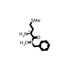 CSCC[C@H](N)C(=O)N(C)Cc1ccccc1